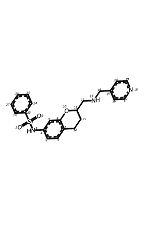 O=S(=O)(Nc1ccc2c(c1)OC(CNCc1ccncc1)CC2)c1ccccc1